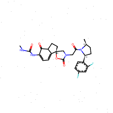 CNC(=O)NC1=CC=C2C(CC[C@]23CN(CC(=O)N2[C@@H](C)CC[C@H]2c2ccc(F)cc2F)C(=O)O3)C1=O